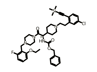 CCOc1cccc(F)c1CN1CCN(C(=O)[C@H](NC(=O)OCc2ccccc2)C2CCN(CCc3cc(Cl)ccc3C#C[Si](C)(C)C)CC2)CC1